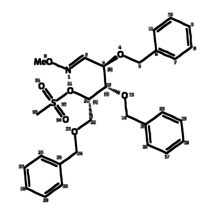 CON=C[C@@H](OCc1ccccc1)[C@H](OCc1ccccc1)[C@H](COCc1ccccc1)OS(C)(=O)=O